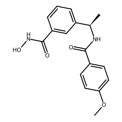 COc1ccc(C(=O)N[C@H](C)c2cccc(C(=O)NO)c2)cc1